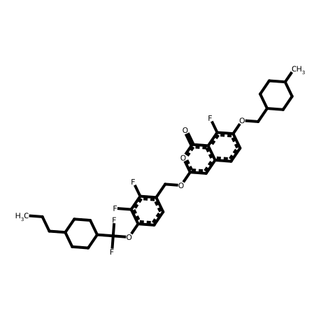 CCCC1CCC(C(F)(F)Oc2ccc(COc3cc4ccc(OCC5CCC(C)CC5)c(F)c4c(=O)o3)c(F)c2F)CC1